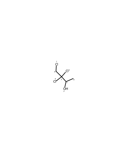 CC(O)C(Cl)(Cl)CCl